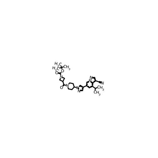 CC(C)c1cc(-c2cnn(C3CCN(C(=O)C4CN(C(=O)OC(C)(C)C)C4)CC3)c2)cn2ncc(C#N)c12